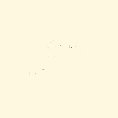 C=CC(=O)N1CCN(c2ncnc3cc(-c4ccc(C=N)c(N)c4)c(Cl)cc23)CC1